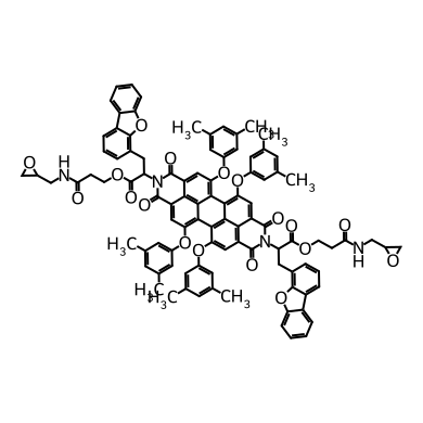 Cc1cc(C)cc(Oc2cc3c4c(cc(Oc5cc(C)cc(C)c5)c5c6c(Oc7cc(C)cc(C)c7)cc7c8c(cc(Oc9cc(C)cc(C)c9)c(c2c45)c86)C(=O)N(C(Cc2cccc4c2oc2ccccc24)C(=O)OCCC(=O)NCC2CO2)C7=O)C(=O)N(C(Cc2cccc4c2oc2ccccc24)C(=O)OCCC(=O)NCC2CO2)C3=O)c1